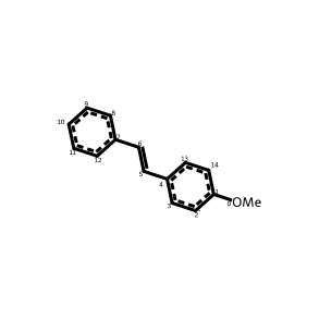 COc1[c]cc(C=Cc2ccccc2)cc1